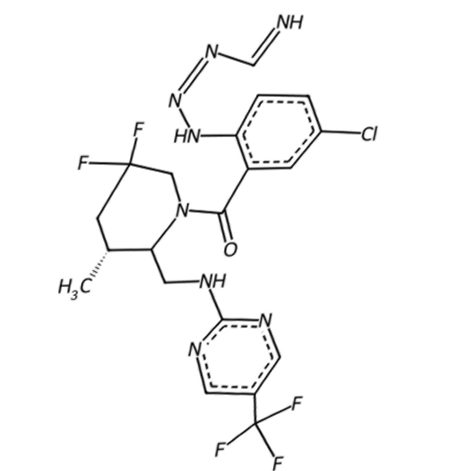 C[C@@H]1CC(F)(F)CN(C(=O)c2cc(Cl)ccc2N/N=N\C=N)C1CNc1ncc(C(F)(F)F)cn1